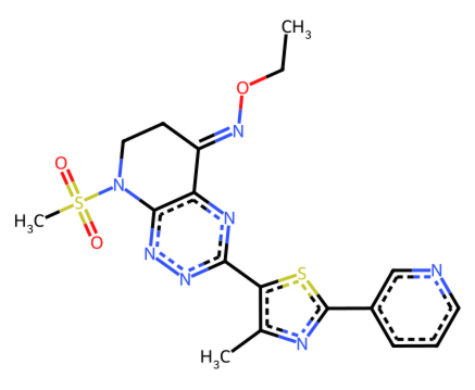 CCO/N=C1\CCN(S(C)(=O)=O)c2nnc(-c3sc(-c4cccnc4)nc3C)nc21